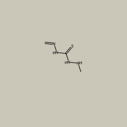 C=NNC(=S)NNC